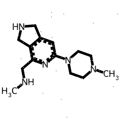 CNCc1nc(N2CCN(C)CC2)cc2c1CNC2